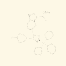 COC(=O)c1cnc2ccc(-c3cn(C(c4ccccc4)(c4ccccc4)c4ccccc4)nc3-c3ccc(F)cc3)cn12